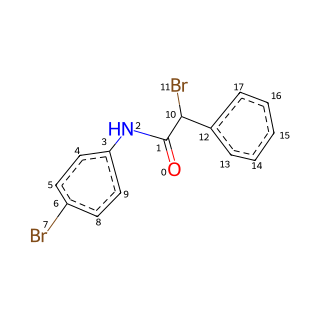 O=C(Nc1ccc(Br)cc1)C(Br)c1ccccc1